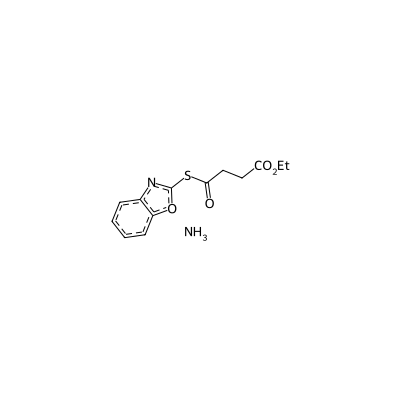 CCOC(=O)CCC(=O)Sc1nc2ccccc2o1.N